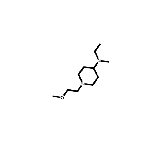 CCN(C)C1CCN(CCOC)CC1